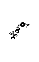 C/C=C(\C)C(NC=O)C(=O)N1Cc2cn(Sc3ccc(OC(F)F)cc3)nc2C1